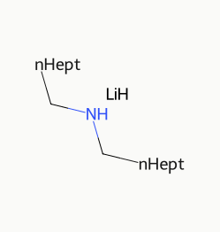 CCCCCCCCNCCCCCCCC.[LiH]